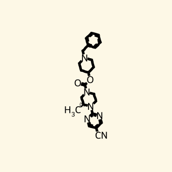 C[C@H]1CN(C(=O)OC2CCN(Cc3ccccc3)CC2)CCN1c1ncc(C#N)cn1